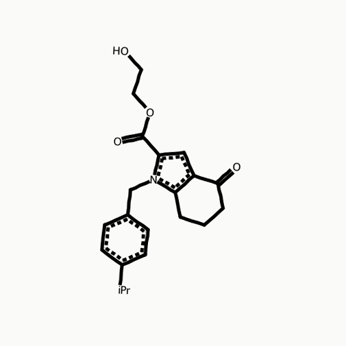 CC(C)c1ccc(Cn2c(C(=O)OCCO)cc3c2CCCC3=O)cc1